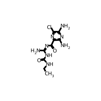 CCNC(=O)N/C(N)=N\C(=O)c1nc(Cl)c(N)nc1N